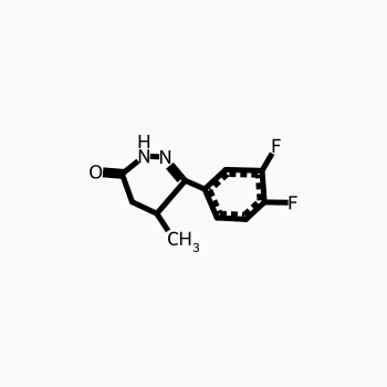 CC1CC(=O)NN=C1c1ccc(F)c(F)c1